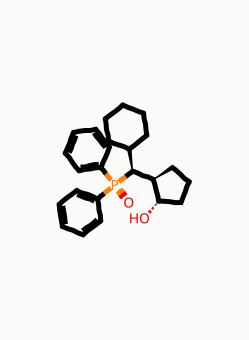 O=P(c1ccccc1)(c1ccccc1)[C@@H](C1CCCCC1)[C@H]1CCC[C@@H]1O